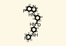 O=C(Nc1ccc(Nc2ccncc2)cc1)c1cccc(Nc2ccnc3ccc(F)cc23)c1